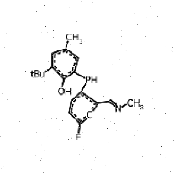 C/N=C/c1cc(F)ccc1Pc1cc(C)cc(C(C)(C)C)c1O